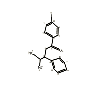 [C-]#[N+]C(C#N)C(CC(=O)c1ccc(I)cc1)c1ccccc1